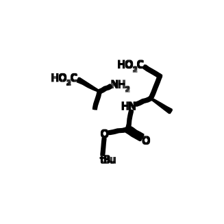 C[C@H](CC(=O)O)NC(=O)OC(C)(C)C.C[C@H](N)C(=O)O